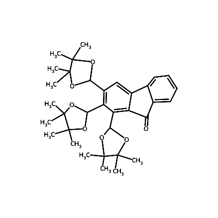 CC1(C)OC(c2cc3c(c(C4OC(C)(C)C(C)(C)O4)c2C2OC(C)(C)C(C)(C)O2)C(=O)c2ccccc2-3)OC1(C)C